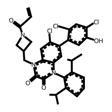 C=CC(=O)N1CC(Cn2c(=O)c(=O)n(-c3c(C(C)C)cccc3C(C)C)c3cc(-c4cc(O)c(Cl)cc4Cl)c(Cl)cc32)C1